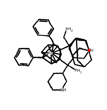 PCC1([C]23[C]4(c5ccccc5)[C]5(c6ccccc6)[CH]6[C]2(C(P)(C2CCCNC2)C2CCCNC2)[Fe]65432789[CH]3[CH]2[CH]7[CH]8[CH]39)C2CC3CC(C2)CC1C3